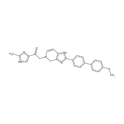 COc1ccc(-c2ccc(-c3nc4c([nH]3)C=CN(CC(=O)c3c[nH]c(C)n3)C4)cc2)cc1